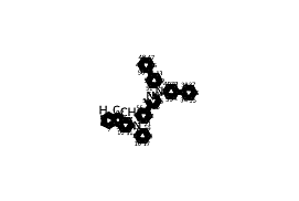 CC1(C)c2ccccc2-c2ccc(N(c3ccccc3)c3ccc(-c4ccc(N(c5ccc(-c6ccccc6)cc5)c5ccc(-c6ccccc6)cc5)nc4)cc3)cc21